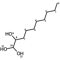 CCCCCCCCC(O)C(O)O